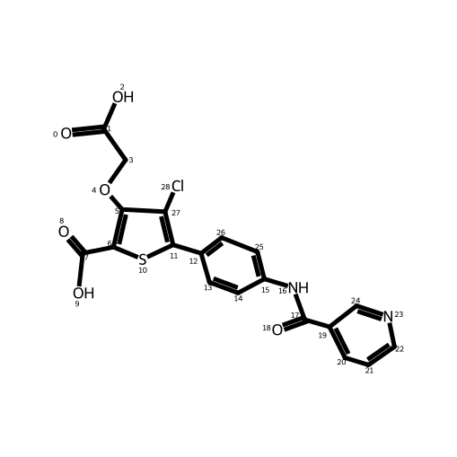 O=C(O)COc1c(C(=O)O)sc(-c2ccc(NC(=O)c3cccnc3)cc2)c1Cl